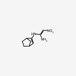 NC(=C[N+](=O)[O-])NC1=CC2CCC1C2